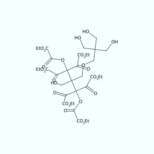 CCOC(=O)C(=O)OC(C(=O)C(=O)OCC)(C(=O)C(=O)OCC)C(CO)(COCC(CO)(CO)CO)C(OC(=O)C(=O)OCC)(C(=O)C(=O)OCC)C(=O)C(=O)OCC